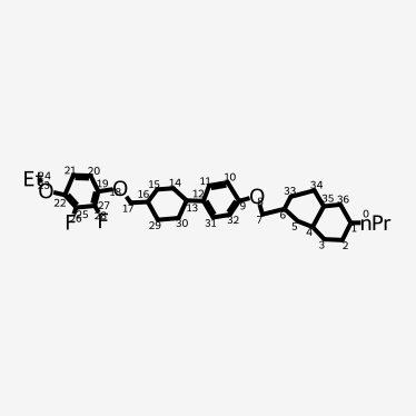 CCCC1CCC2CC(COc3ccc(C4CCC(COc5ccc(OCC)c(F)c5F)CC4)cc3)CCC2C1